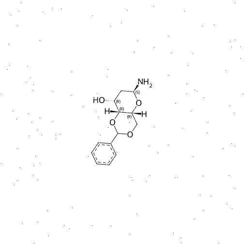 N[C@@H]1C[C@@H](O)[C@H]2OC(c3ccccc3)OC[C@H]2O1